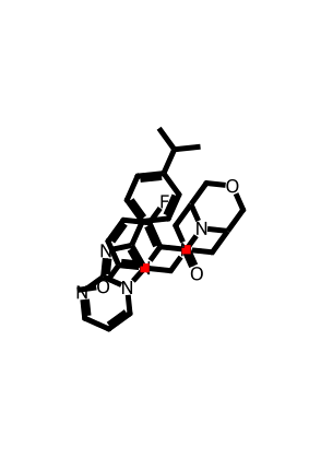 COc1ccc(F)c(C(=O)N2C3COCC2CN(Cc2c(-c4ccc(C(C)C)cc4)nc4ncccn24)C3)n1